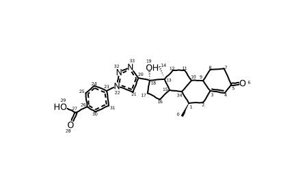 C[C@@H]1CC2=CC(=O)CCC2C2CC[C@@]3(C)C(CC[C@@]3(O)c3cn(-c4ccc(C(=O)O)cc4)nn3)C21